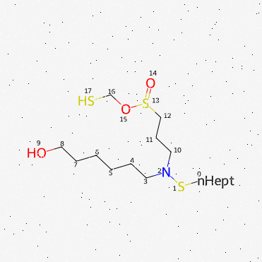 CCCCCCCSN(CCCCCCO)CCCS(=O)OCS